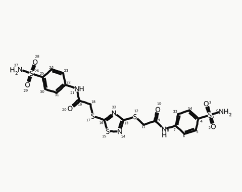 NS(=O)(=O)c1ccc(NC(=O)CSc2nsc(SCC(=O)Nc3ccc(S(N)(=O)=O)cc3)n2)cc1